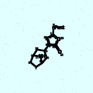 CCCCCc1nn(C2CC3CCC(C2)N3)c(=O)o1